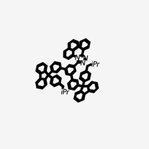 CC(C)Cc1ccc(C2(c3cccc(-c4cc(-c5cccc(C6(c7ccc(CC(C)C)cc7)c7ccccc7-c7ccccc76)c5)cc(-c5nnc(-c6ccccc6)n5-c5cccc6ccccc56)c4)c3)c3ccccc3-c3ccccc32)cc1